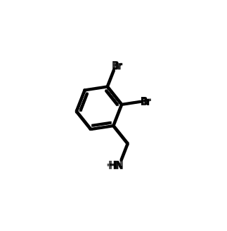 [NH]Cc1cccc(Br)c1Br